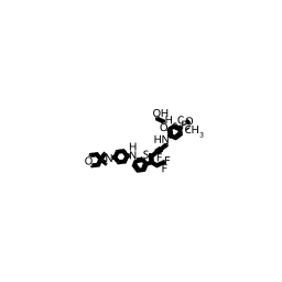 CP(C)(=O)c1ccc(NCC#Cc2sc3c(NC4CCC(N5CC6(CCOCC6)C5)CC4)cccc3c2CC(F)(F)F)c(OCCO)c1